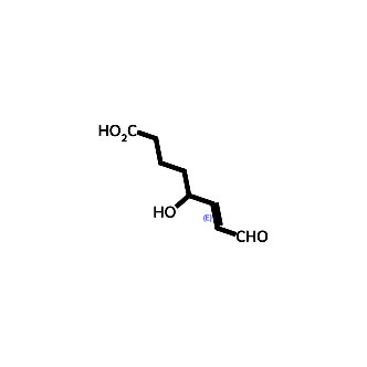 O=C/C=C/C(O)CCCC(=O)O